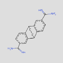 N=C(N)c1ccc2c(c1)C1CCC2c2cc(C(=N)N)ccc21